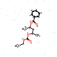 CCOC(=O)OC(C)CC(C)OC(=O)c1ccccc1